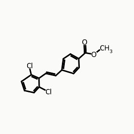 COC(=O)c1ccc(C=Cc2c(Cl)cccc2Cl)cc1